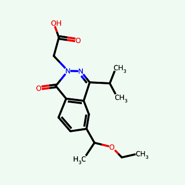 CCOC(C)c1ccc2c(=O)n(CC(=O)O)nc(C(C)C)c2c1